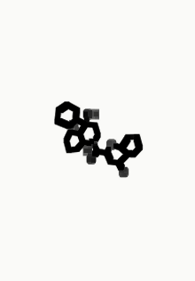 O=C(c1cc(=O)c2ccccc2o1)N1CC[C@@](O)(c2ccccc2)[C@@H]2CCCC[C@@H]21